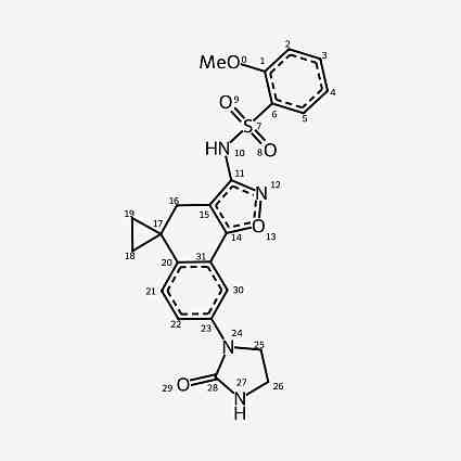 COc1ccccc1S(=O)(=O)Nc1noc2c1CC1(CC1)c1ccc(N3CCNC3=O)cc1-2